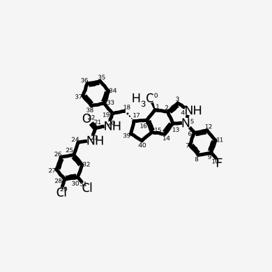 C[C@H]1C2=CNN(c3ccc(F)cc3)C2=CC2=C1[C@@H](CC(NC(=O)NCc1ccc(Cl)c(Cl)c1)c1ccccc1)CC2